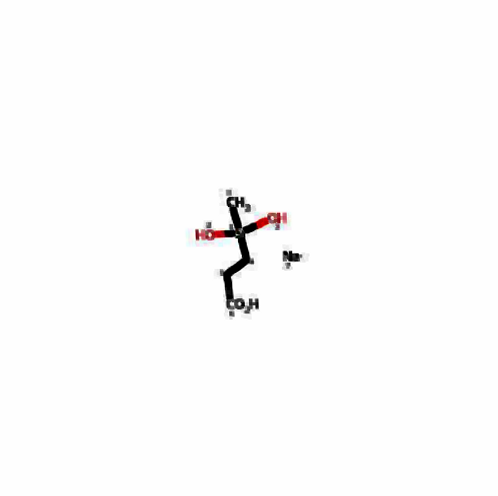 C[Si](O)(O)CCC(=O)O.[Na]